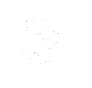 CNc1c(C)ccc(C)c1NC(=O)/C=C/c1cccnc1Nc1cc(C)c(OC)c(OC)c1